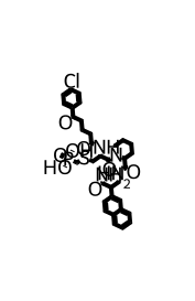 NC(=O)C(CNC(=O)C1CCCCN1C(=O)C(CSCP(=O)(O)O)NC(=O)CCCC(=O)c1ccc(Cl)cc1)c1ccc2ccccc2c1